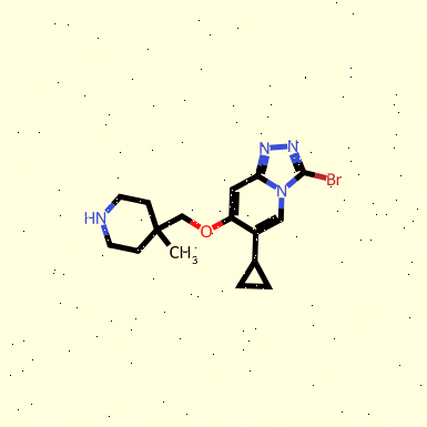 CC1(COc2cc3nnc(Br)n3cc2C2CC2)CCNCC1